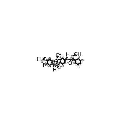 CCOc1cc(NC(=O)[C@@H](CO)c2ccccc2)ccc1S(=O)(=O)Nc1ccc(C)c(F)c1